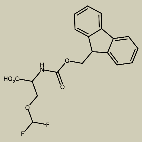 O=C(NC(COC(F)F)C(=O)O)OCC1c2ccccc2-c2ccccc21